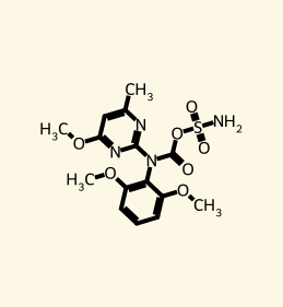 COc1cc(C)nc(N(C(=O)OS(N)(=O)=O)c2c(OC)cccc2OC)n1